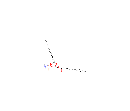 CCCCCCCCCCCCCC(=O)OC[C@H](COPC[N+](C)(C)C)OC(=O)CCCCCCCCCCCCC